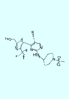 CS(=O)(=O)N1CCC(Nc2ncc(C#N)c(-c3sc(CO)nc3C(F)(F)F)n2)CC1